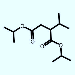 CC(C)OC(=O)CC(C(=O)OC(C)C)C(C)C